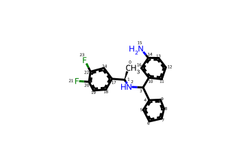 C[C@@H](NC(c1ccccc1)c1cccc(N)c1)c1ccc(F)c(F)c1